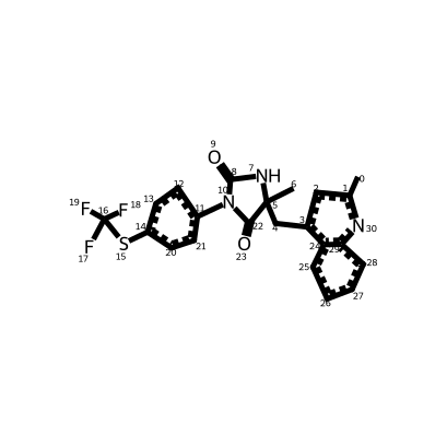 Cc1cc(CC2(C)NC(=O)N(c3ccc(SC(F)(F)F)cc3)C2=O)c2ccccc2n1